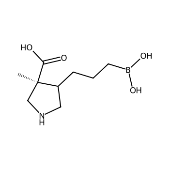 C[C@@]1(C(=O)O)CNCC1CCCB(O)O